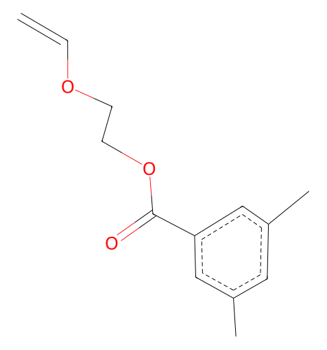 C=COCCOC(=O)c1cc(C)cc(C)c1